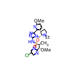 CCN1CCC[C@H]1Cn1c(NS(=O)(=O)[C@@H](C)[C@H](OC)c2ncc(Cl)cn2)nnc1-c1cccc(OC)n1